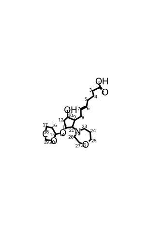 O=C(O)CCCC=CCC1C(O)CC(OC2CCCCO2)C1N1CCCOCC1